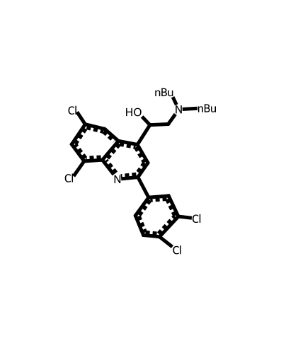 CCCCN(CCCC)CC(O)c1cc(-c2ccc(Cl)c(Cl)c2)nc2c(Cl)cc(Cl)cc12